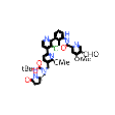 COc1cc(C(=O)Nc2cccc(-c3nccc(-c4ccc(CN(C[C@@H]5CCC(=O)N5)C(=O)OC(C)(C)C)c(OC)n4)c3Cl)c2C)ncc1C=O